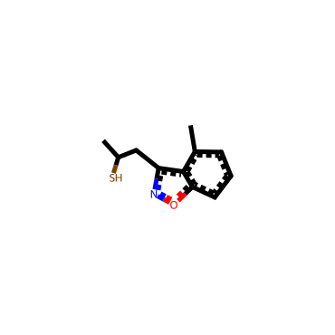 Cc1cccc2onc(CC(C)S)c12